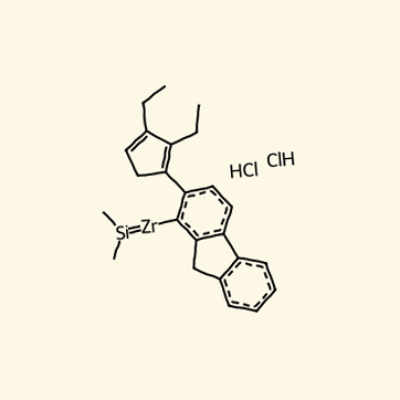 CCC1=CCC(c2ccc3c([c]2[Zr]=[Si](C)C)Cc2ccccc2-3)=C1CC.Cl.Cl